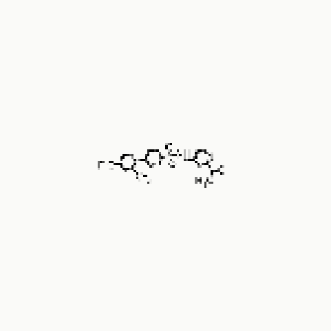 CC(O)c1cc(CNS(=O)(=O)c2ccc(-c3ccc(C(F)(F)F)cc3C(F)(F)F)cc2)ccn1